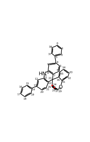 c1ccc(-c2ccc3c(c2)Nc2cc(-c4ccccc4)ccc2C32c3ccccc3Oc3ccccc32)cc1